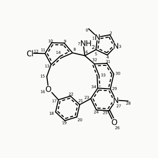 Cn1cncc1C1(N)c2ccc(Cl)c(c2)COc2cccc(c2)-c2cc(=O)n(C)c3ccc1cc23